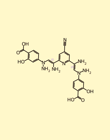 N#Cc1cc(/C(N)=C/N(N)c2ccc(C(=O)O)c(O)c2)nc(/C(N)=C/N(N)c2ccc(C(=O)O)c(O)c2)c1